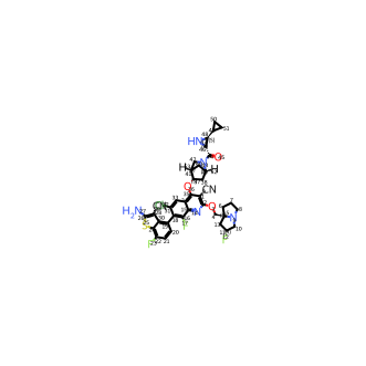 N#Cc1c(OC[C@@]23CCCN2C[C@H](F)C3)nc2c(F)c(-c3ccc(F)c4sc(N)c(C#N)c34)c(Cl)cc2c1O[C@H]1C[C@@H]2C[C@H]1CN2C(=O)[C@@H]1N[C@H]1C1CC1